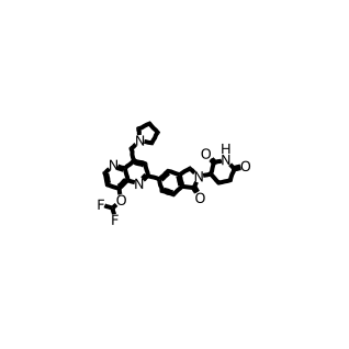 O=C1CCC(N2Cc3cc(-c4cc(CN5CCCC5)c5nccc(OC(F)F)c5n4)ccc3C2=O)C(=O)N1